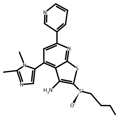 CCCC[S@@+]([O-])c1sc2nc(-c3cccnc3)cc(-c3cnc(C)n3C)c2c1N